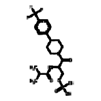 CC(C)C(=O)NC(COP(=O)(O)O)C(=O)N1CCC(c2ccc(C(F)(F)F)cc2)CC1